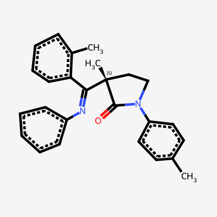 Cc1ccc(N2CC[C@@](C)(C(=Nc3ccccc3)c3ccccc3C)C2=O)cc1